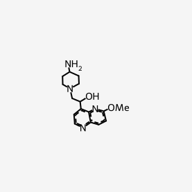 COc1ccc2nccc(C(O)CN3CCC(N)CC3)c2n1